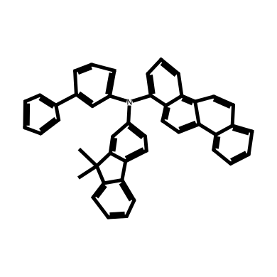 CC1(C)c2ccccc2-c2ccc(N(c3cccc(-c4ccccc4)c3)c3cccc4c3ccc3c5ccccc5ccc43)cc21